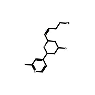 Cc1cc(C2CC(Br)CC(/C=C\CCO)O2)ccn1